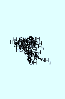 CC(C)C[C@H](NC(=O)[C@H](Cc1ccc(O)cc1)NC(=O)[C@H](CS)NC(=O)[C@@H](N)CCCCN)C(=O)N[C@@H](CS)C(=O)N[C@H](CCC(=O)O)C(=O)N[C@@H](C)C(=O)N[C@@H](Cc1ccc(O)cc1)C(=O)N[C@H](C)C(=O)N[C@H](C(=O)O)C(C)C